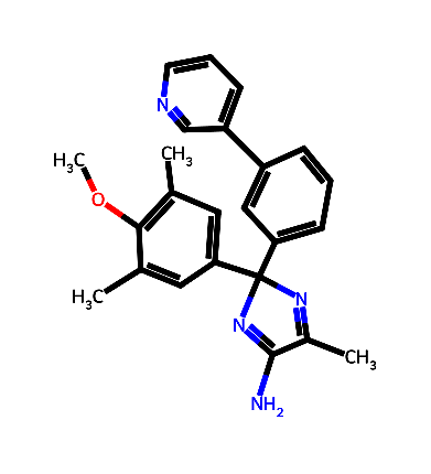 COc1c(C)cc(C2(c3cccc(-c4cccnc4)c3)N=C(C)C(N)=N2)cc1C